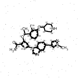 CC(Oc1cc(-n2cnc3cc(-c4cnn(C)c4)ccc32)sc1C(N)=O)c1cccc(OC2CCNCC2)c1F